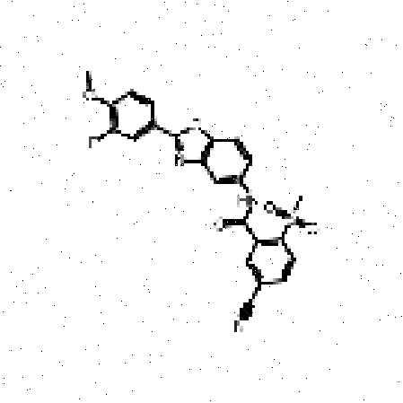 COc1ccc(-c2nc3cc(NC(=O)c4cc(C#N)ccc4S(C)(=O)=O)ccc3o2)cc1F